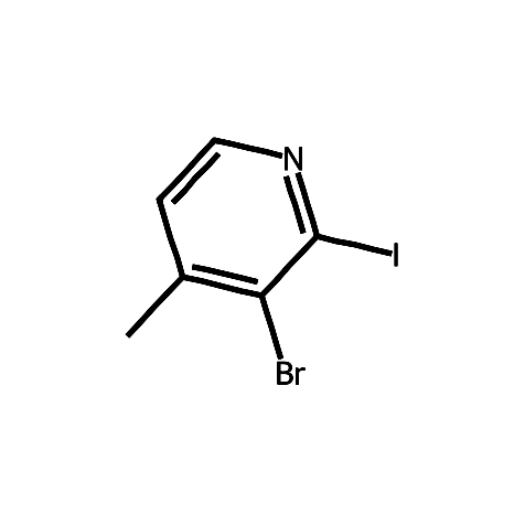 Cc1ccnc(I)c1Br